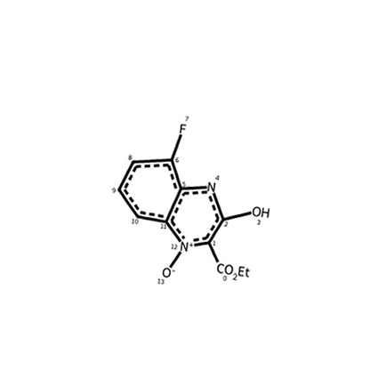 CCOC(=O)c1c(O)nc2c(F)cccc2[n+]1[O-]